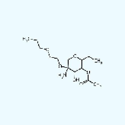 CCCOCCOC1(N)COC(CC)C(OC(C)=O)C1O